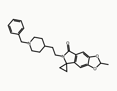 CC1Oc2cc3c(cc2O1)C1(CC1)N(CCC1CCN(Cc2ccccc2)CC1)C3=O